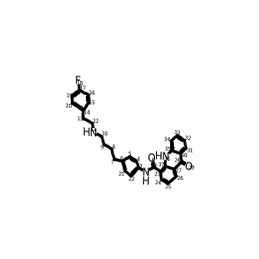 O=C(Nc1ccc(CCCCNCCc2ccc(F)cc2)cc1)c1cccc2c(=O)c3ccccc3[nH]c12